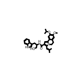 COc1cc2c(cc1OC(C)C)-c1cc(C(=O)NC(CO)Cc3c[nH]c4ccccc34)c(C=C(C)C)n1CC2